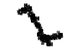 Cc1ncc(-c2ccc3nc(NC(=O)CCN4CCN(CCOc5cncc(C(=O)N[C@H](C(=O)N6C[C@H](O)C[C@H]6C(=O)NCc6ccc(-c7scnc7C)cc6)C(C)(C)C)c5)CC4)sc3c2)cc1NC(=O)OC1CCCCC1